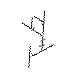 CCCCCCCCC(CCCCCCCC)OC(=O)CCCCCCCN(CCCCCCCC(=O)O)CCNC(=O)CCC(=O)NCCN(CCCCCCCC(=O)OC(CCCCCCCC)CCCCCCCC)CCCCCCCC(=O)OC(CCCCCCCC)CCCCCCCC